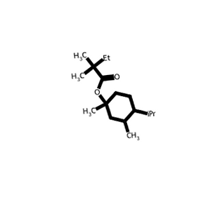 CCC(C)(C)C(=O)OC1(C)CCC(C(C)C)C(C)C1